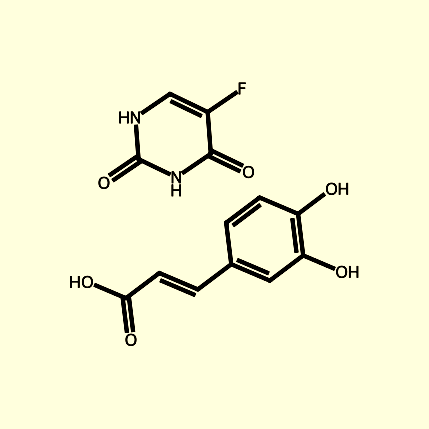 O=C(O)C=Cc1ccc(O)c(O)c1.O=c1[nH]cc(F)c(=O)[nH]1